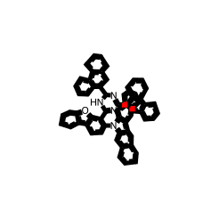 c1ccc2cc3c(cc2c1)c1cc2ccccc2cc1n3-c1ccc2c(oc3ccccc32)c1C1=NC(c2cc3ccccc3c3ccccc23)=NC(c2cc3ccccc3c3ccccc23)N1